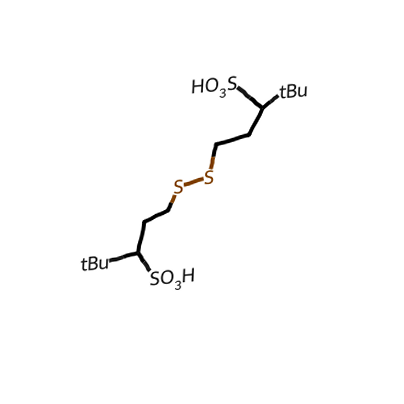 CC(C)(C)C(CCSSCCC(C(C)(C)C)S(=O)(=O)O)S(=O)(=O)O